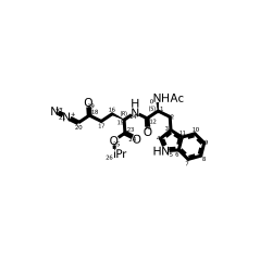 CC(=O)N[C@@H](Cc1c[nH]c2ccccc12)C(=O)N[C@H](CCC(=O)C=[N+]=[N-])C(=O)OC(C)C